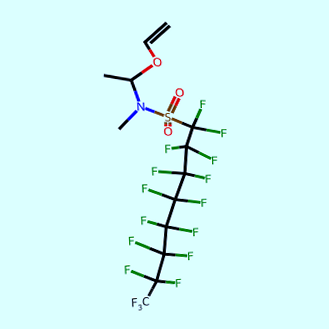 C=COC(C)N(C)S(=O)(=O)C(F)(F)C(F)(F)C(F)(F)C(F)(F)C(F)(F)C(F)(F)C(F)(F)C(F)(F)F